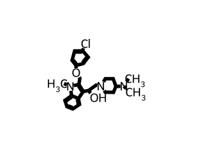 CN(C)C1CCN(CC(O)c2c(COc3ccc(Cl)cc3)n(C)c3ccccc23)CC1